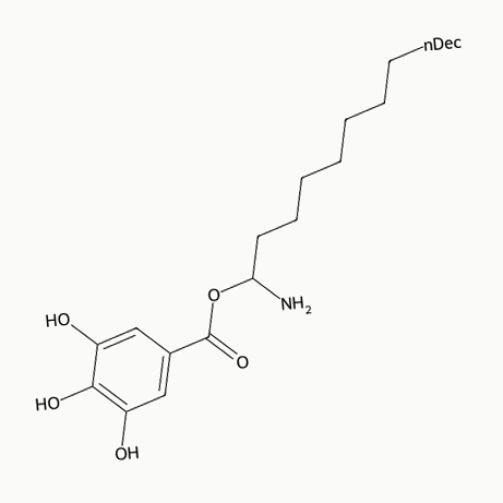 CCCCCCCCCCCCCCCCCC(N)OC(=O)c1cc(O)c(O)c(O)c1